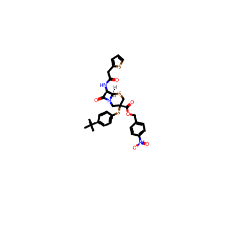 CC(C)(C)c1ccc(SC2(C(=O)OCc3ccc([N+](=O)[O-])cc3)CS[C@@H]3C(NC(=O)Cc4cccs4)C(=O)N3C2)cc1